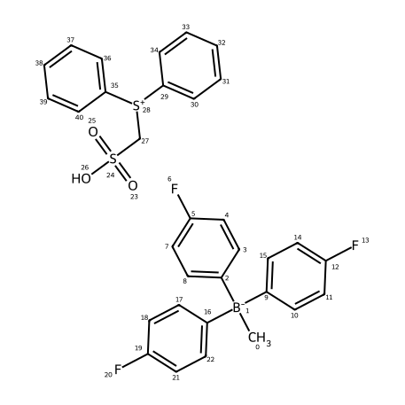 C[B-](c1ccc(F)cc1)(c1ccc(F)cc1)c1ccc(F)cc1.O=S(=O)(O)C[S+](c1ccccc1)c1ccccc1